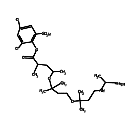 CCCCCCCC(C)NCCC(C)(C)OCCC(C)(C)OC(C)CC(C)C(=O)Oc1c(Cl)cc(Cl)cc1S(=O)(=O)O